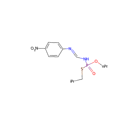 CCCOP(=O)(NC=Nc1ccc([N+](=O)[O-])cc1)SCC(C)C